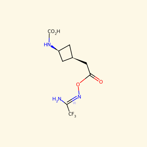 N/C(=N\OC(=O)C[C@H]1C[C@@H](NC(=O)O)C1)C(F)(F)F